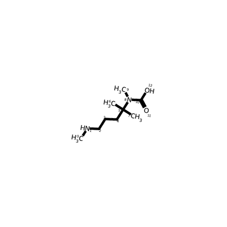 CNCCCC(C)(C)N(C)C(=O)O